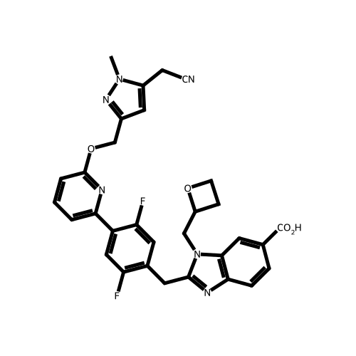 Cn1nc(COc2cccc(-c3cc(F)c(Cc4nc5ccc(C(=O)O)cc5n4CC4CCO4)cc3F)n2)cc1CC#N